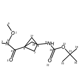 CON(C)C(=O)C12CC(NC(=O)OC(C)(C)C)(C1)C2